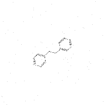 [c]1ccc(CCc2cc[c]cc2)cc1